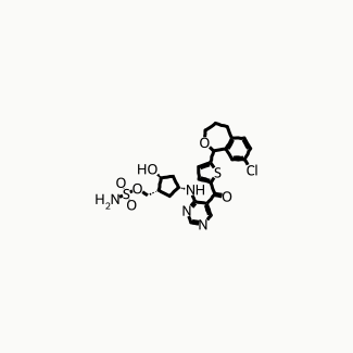 NS(=O)(=O)OC[C@H]1C[C@@H](Nc2ncncc2C(=O)c2ccc(C3OCCCc4ccc(Cl)cc43)s2)C[C@@H]1O